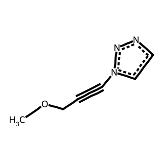 COCC#Cn1ccnn1